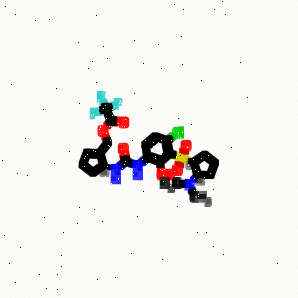 CN(C)[C@@H]1CCC[C@@H]1S(=O)(=O)c1c(Cl)ccc(NC(=O)N[C@@H]2CCC=C2COC(=O)C(F)(F)F)c1O